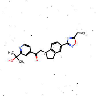 CCc1nc(-c2ccc3c(c2)CC[C@H]3CC(=O)c2ccnc(C(C)(C)O)c2)no1